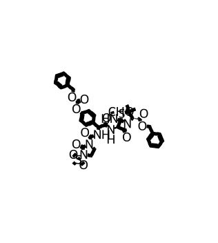 CC1(C)SC2(NC=O)[C@H](NC(=O)C(NC(=O)N3CCN(S(C)(=O)=O)C3=O)c3ccc(OC(=O)OCc4ccccc4)cc3)C(=O)N2[C@H]1C(=O)OCc1ccccc1